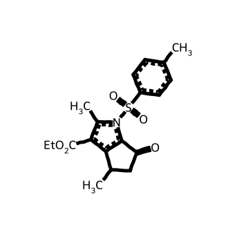 CCOC(=O)c1c2c(n(S(=O)(=O)c3ccc(C)cc3)c1C)C(=O)CC2C